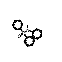 CN(c1ccccc1)P(=O)(c1ccccc1)c1ccccc1